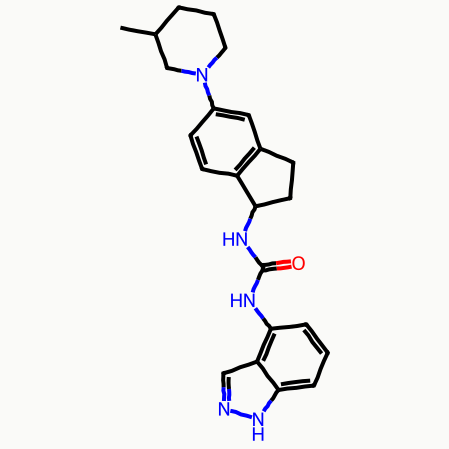 CC1CCCN(c2ccc3c(c2)CCC3NC(=O)Nc2cccc3[nH]ncc23)C1